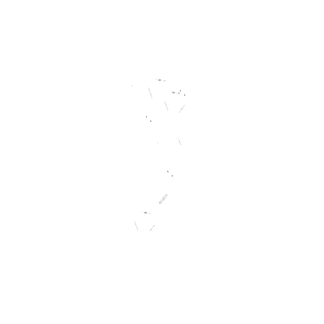 COc1ccc2nccc([C@H](CC[C@@H]3CCN(CC#Cc4cc(F)cc(F)c4)C[C@@H]3C(=O)O)N(C)C)c2c1